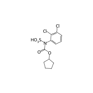 O=C(OC1CCCC1)N(c1cccc(Cl)c1Cl)S(=O)(=O)O